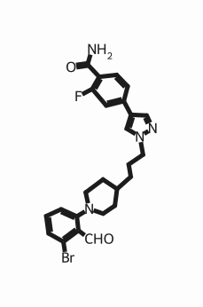 NC(=O)c1ccc(-c2cnn(CCCC3CCN(c4cccc(Br)c4C=O)CC3)c2)cc1F